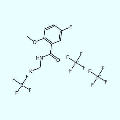 COc1ccc(F)cc1C(=O)N[CH2][K].F[B-](F)(F)F.F[B-](F)(F)F.F[B-](F)(F)F